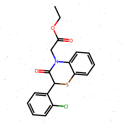 CCOC(=O)CN1C(=O)C(c2ccccc2Cl)Sc2ccccc21